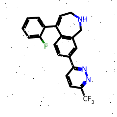 Fc1ccccc1C1=CCNCc2cc(-c3ccc(C(F)(F)F)nn3)ccc21